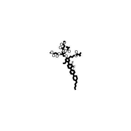 C=C(C)C(=O)OCCCc1cc(-c2ccc(-c3ccc(C4CCC(CCCCC)CC4)cc3)c(F)c2F)c(CC)cc1OCC(COC(=O)CC(=O)OC)(COC(=O)CC(=O)OC)COC(=O)C(=C)C